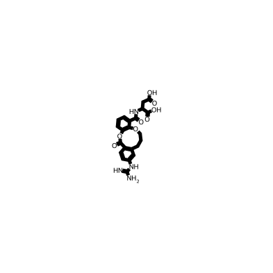 N=C(N)Nc1ccc2c(c1)CCCOc1c(cccc1C(=O)NC(CC(=O)O)C(=O)O)OC2=O